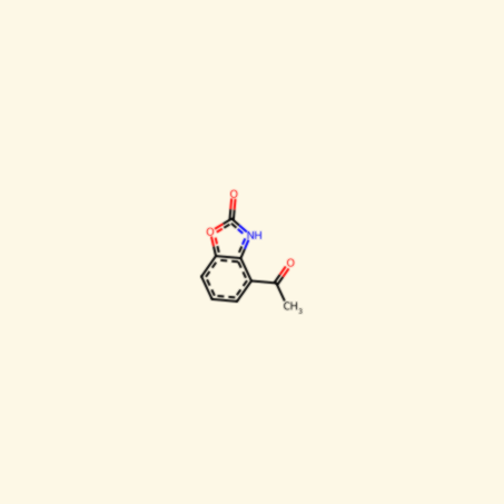 CC(=O)c1cccc2oc(=O)[nH]c12